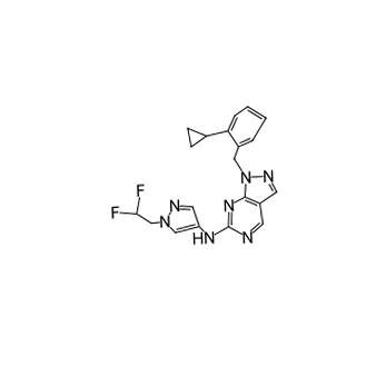 FC(F)Cn1cc(Nc2ncc3cnn(Cc4ccccc4C4CC4)c3n2)cn1